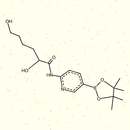 CC1(C)OB(c2ccc(NC(=O)C(O)CCCCO)nc2)OC1(C)C